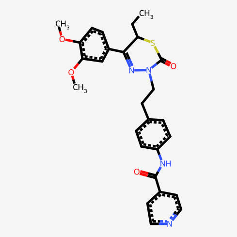 CCC1SC(=O)N(CCc2ccc(NC(=O)c3ccncc3)cc2)N=C1c1ccc(OC)c(OC)c1